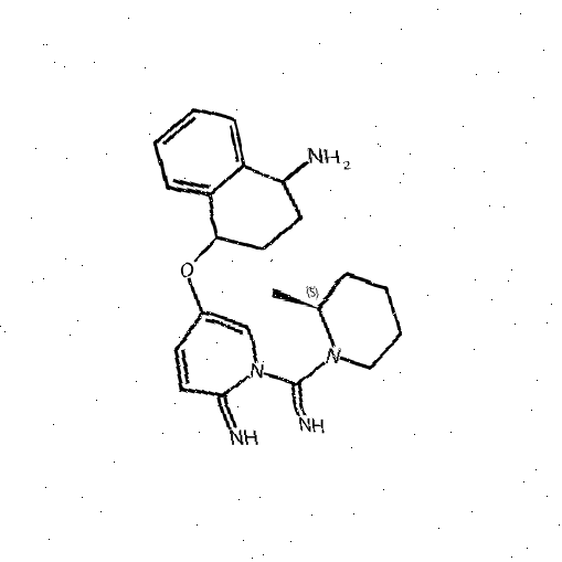 C[C@H]1CCCCN1C(=N)n1cc(OC2CCC(N)c3ccccc32)ccc1=N